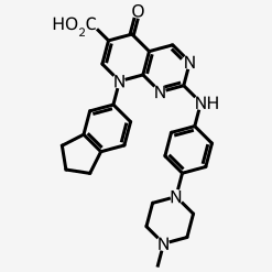 CN1CCN(c2ccc(Nc3ncc4c(=O)c(C(=O)O)cn(-c5ccc6c(c5)CCC6)c4n3)cc2)CC1